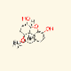 CCC[C@]12c3c4ccc(O)c3O[C@H]1C(O)=CC[C@@]2(OCC)[C@H](C)C4